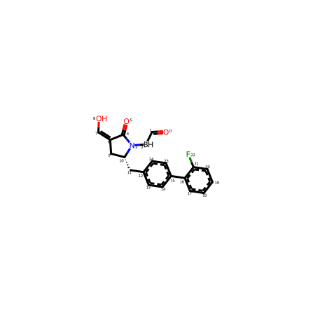 O=CBN1C(=O)/C(=C\O)C[C@H]1Cc1ccc(-c2ccccc2F)cc1